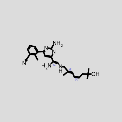 C/C(=C\C=C/CC(C)(C)O)CN/C=C(\N)c1cc(-c2cccc(C#N)c2C)nc(N)n1